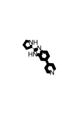 c1cc(-c2ccc3nc([C@@H]4CCCN4)[nH]c3c2)ccn1